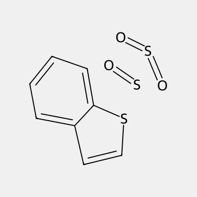 O=S.O=S=O.c1ccc2sccc2c1